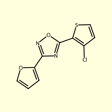 Clc1ccsc1-c1nc(-c2ccco2)no1